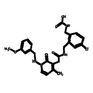 COc1cccc(CNn2ccc(C)c(CC(=O)NCc3cc(Cl)ccc3CNC(=O)O)c2=O)c1